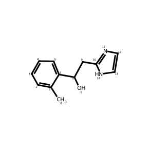 Cc1ccccc1C(O)Cc1ncc[nH]1